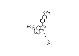 COc1ccc2cc(C(=O)c3cccnc3OCCCCCCN(C)C)ccc2c1.O=C(O)/C=C/C(=O)O